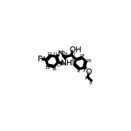 CCOc1ccc(C(O)c2nc3cc(F)ccc3[nH]2)cc1